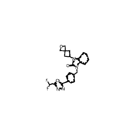 O=c1n(Cc2ccc(-c3nnc(C(F)F)o3)cc2)c2ccccc2n1C1CC2(COC2)C1